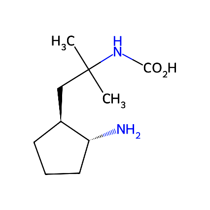 CC(C)(C[C@@H]1CCC[C@H]1N)NC(=O)O